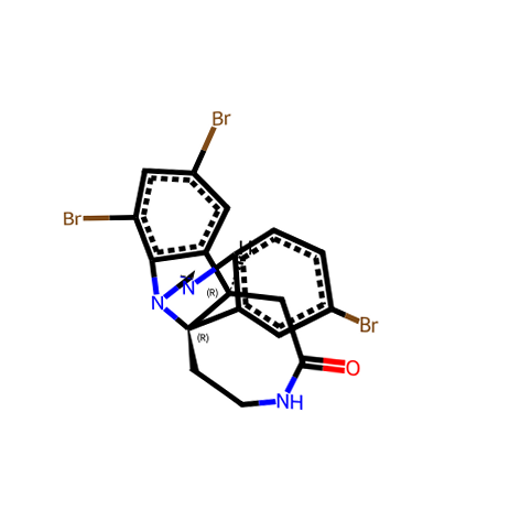 O=C1C[C@@H]2c3cc(Br)cc(Br)c3N3C=Nc4ccc(Br)cc4[C@@]23CCN1